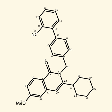 COc1ccc2c(=O)n(Cc3ccc(-c4ccccc4C#N)cc3)c(C3CCCCC3)cc2c1